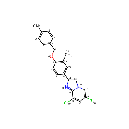 [C-]#[N+]c1ccc(COc2ccc(-c3cn4cc(Cl)cc(Cl)c4n3)cc2C)cc1